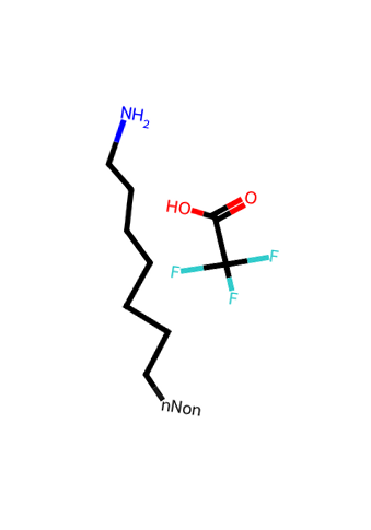 CCCCCCCCCCCCCCCCN.O=C(O)C(F)(F)F